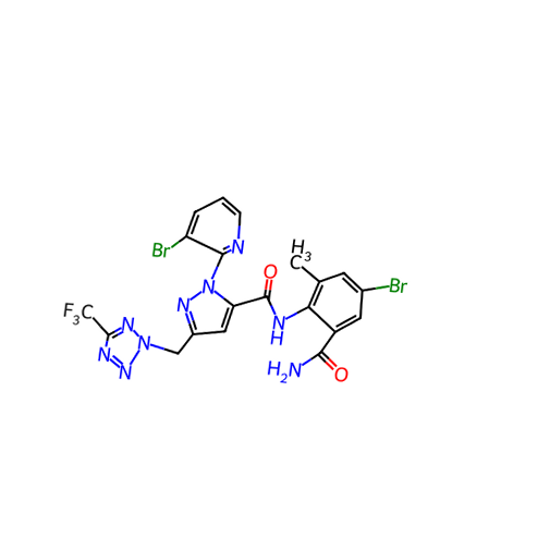 Cc1cc(Br)cc(C(N)=O)c1NC(=O)c1cc(Cn2nnc(C(F)(F)F)n2)nn1-c1ncccc1Br